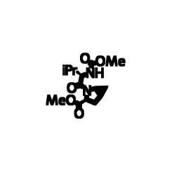 COC(=O)N[C@H](C(=O)N1C2CC2C[C@H]1C(=O)OC)C(C)C